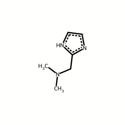 CN(C)Cc1n[c]c[nH]1